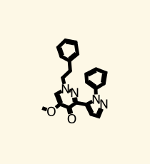 COc1cn(CCc2ccccc2)nc(-c2ccnn2-c2ccccc2)c1=O